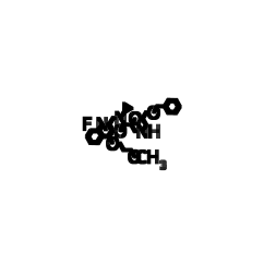 COCCCOc1cc(CN(C(=O)C2CNCC(COCc3ccccc3)O2)C2CC2)nc2c(F)cccc12